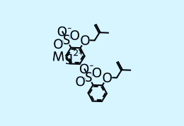 C=C(C)COc1ccccc1S(=O)(=O)[O-].C=C(C)COc1ccccc1S(=O)(=O)[O-].[Mg+2]